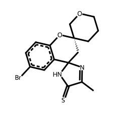 CC1=NC2(C[C@]3(CCCOC3)Oc3ccc(Br)cc32)NC1=S